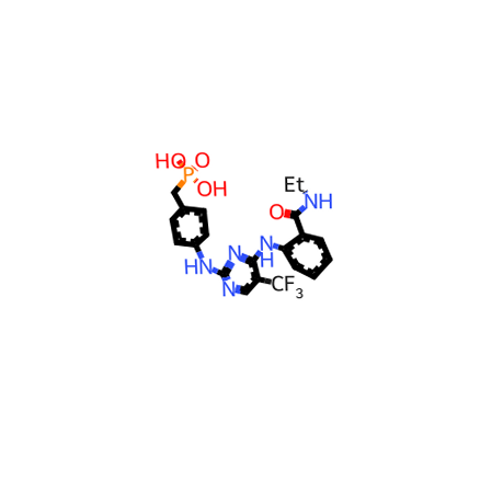 CCNC(=O)c1ccccc1Nc1nc(Nc2ccc(CP(=O)(O)O)cc2)ncc1C(F)(F)F